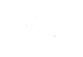 C[N+]1(C(Br)CCC(Br)[N+]2(C)CCCCC2)CCCCC1